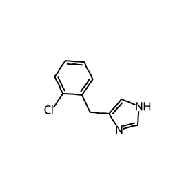 Clc1ccccc1Cc1c[nH]cn1